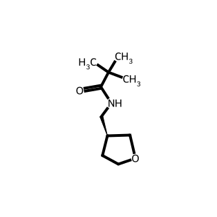 CC(C)(C)C(=O)NC[C@@H]1CCOC1